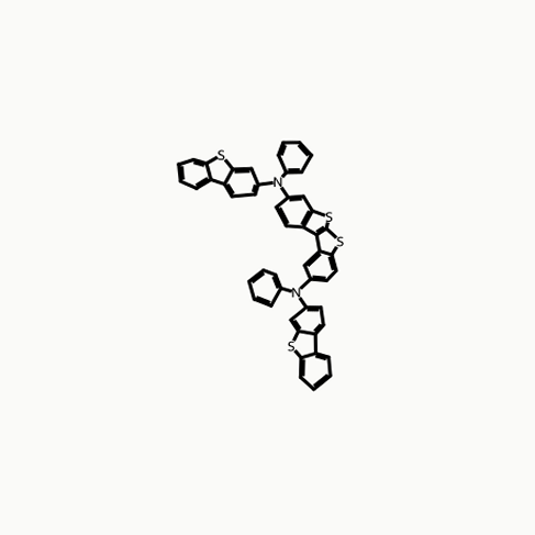 c1ccc(N(c2ccc3c(c2)sc2ccccc23)c2ccc3c(c2)sc2sc4ccc(N(c5ccccc5)c5ccc6c(c5)sc5ccccc56)cc4c23)cc1